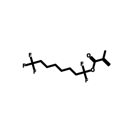 C=C(C)C(=O)OC(F)(F)CCCCCCC(F)(F)F